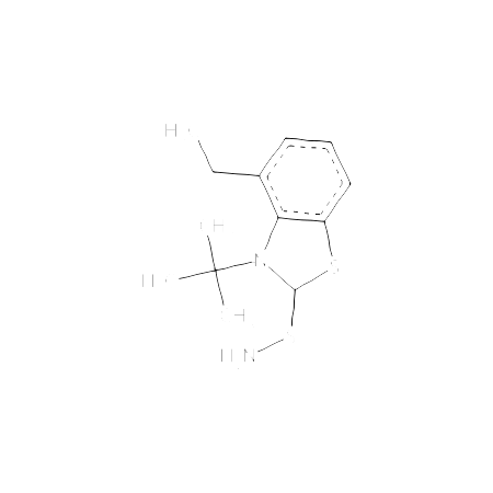 CCc1cccc2c1N(C(C)(C)C)C(SN)S2